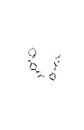 COc1cc(OCc2csc(-c3ccc(C(=O)N4C[C@@H]5C[C@H](C)CC[C@@H]4C5)cc3)n2)c2sc(-c3cn4nc(C)sc4n3)nc2c1